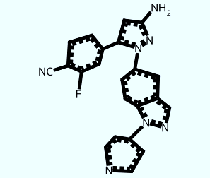 N#Cc1ccc(-c2cc(N)nn2-c2ccc3c(cnn3-c3ccncc3)c2)cc1F